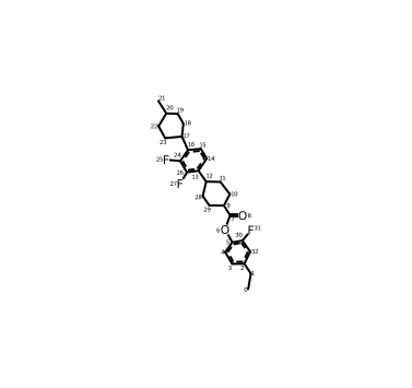 CCc1ccc(OC(=O)C2CCC(c3ccc(C4CCC(C)CC4)c(F)c3F)CC2)c(F)c1